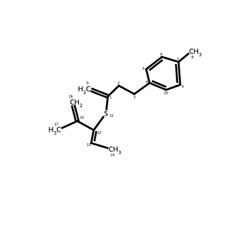 C=C(CCc1ccc(C)cc1)S/C(=C\C)C(=C)C